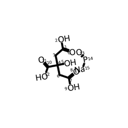 O=C(O)CC(O)(CC(=O)O)C(=O)O.O=[P][Na]